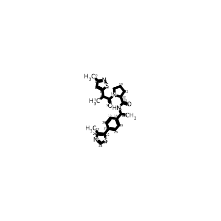 Cc1cc(C(C)C(=O)N2CCCC2C(=O)NC(C)c2ccc(-c3scnc3C)cc2)sn1